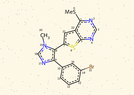 CSc1ncnc2sc(-c3c(-c4cccc(Br)c4)ncn3C)cc12